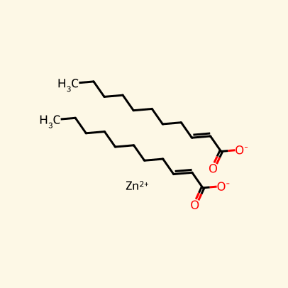 CCCCCCCCC=CC(=O)[O-].CCCCCCCCC=CC(=O)[O-].[Zn+2]